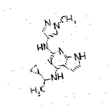 C[C@H](Nc1nc(Nc2cnn(C)c2)nc2[nH]ccc12)C1CC1